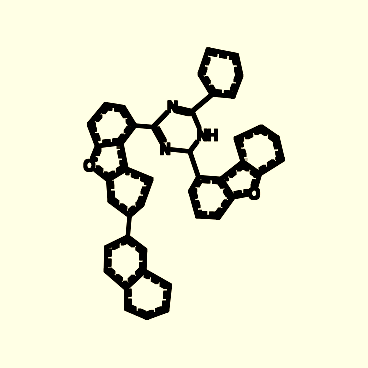 c1ccc(C2=NC(c3cccc4oc5cc(-c6ccc7ccccc7c6)ccc5c34)=NC(c3cccc4oc5ccccc5c34)N2)cc1